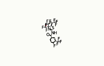 O=C(NC1=NC(C(F)(F)F)(C(F)(F)F)C(=C(F)C(F)(F)F)S1)c1ccc(F)c(C(F)(F)F)c1